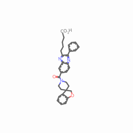 O=C(O)CCCCc1nc2cc(C(=O)N3CCC4(CC3)COc3ccccc34)ccc2nc1-c1ccccc1